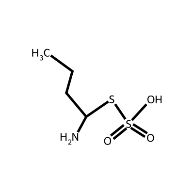 CCCC(N)SS(=O)(=O)O